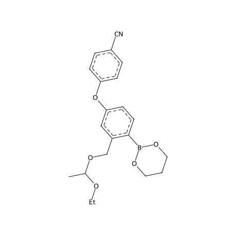 CCOC(C)OCc1cc(Oc2ccc(C#N)cc2)ccc1B1OCCCO1